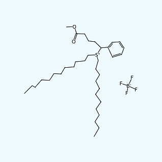 CCCCCCCCCCCC[S+](CCCCCCCCCCCC)C(CCCC(=O)OC)c1ccccc1.F[B-](F)(F)F